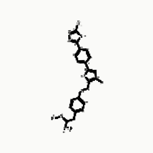 CCOC(Cc1ccc(OCc2sc(-c3ccc(-c4nnc(C(F)(F)F)o4)cc3)cc2C)cc1)C(=O)O